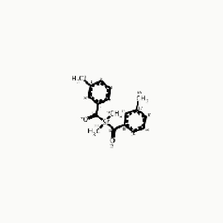 Cc1cccc(C(=O)[Si](C)(C)C(=O)c2cccc(C)c2)c1